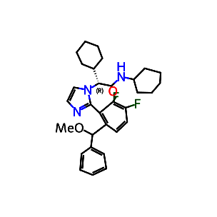 COC(c1ccccc1)c1ccc(F)c(F)c1-c1nccn1[C@@H](C(=O)NC1CCCCC1)C1CCCCC1